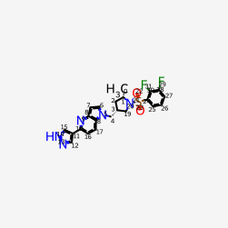 C[C@H]1C[C@@H](Cn2ccc3nc(-c4cn[nH]c4)ccc32)CN1S(=O)(=O)c1cccc(F)c1F